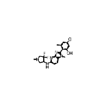 Cc1cc(Cl)cc(O)c1-c1nc2nc(NC3CN(C)CC3(F)F)ccc2n1C